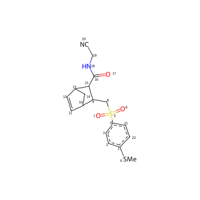 CSc1ccc(S(=O)(=O)CC2C3C=CC(C3)C2C(=O)NCC#N)cc1